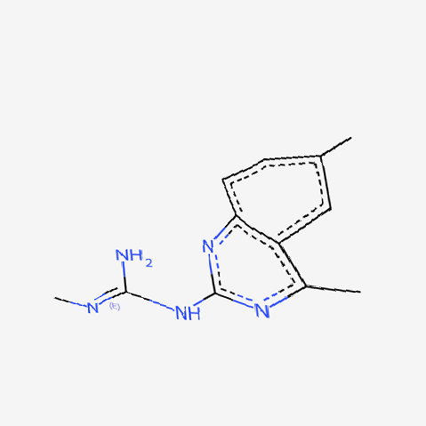 C/N=C(\N)Nc1nc(C)c2cc(C)ccc2n1